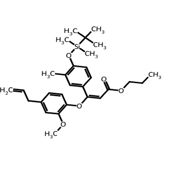 C=CCc1ccc(O/C(=C/C(=O)OCCC)c2ccc(O[Si](C)(C)C(C)(C)C)c(C)c2)c(OC)c1